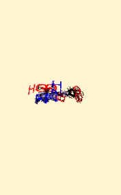 C=N/C=C(C(=O)O)\C(=N/C)NC(=O)/C=C/c1ccc(OC)c(OC)c1